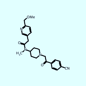 COCc1ccc(CC(=O)N(C)C2CCN(CC(=O)c3ccc(C#N)cc3)CC2)cn1